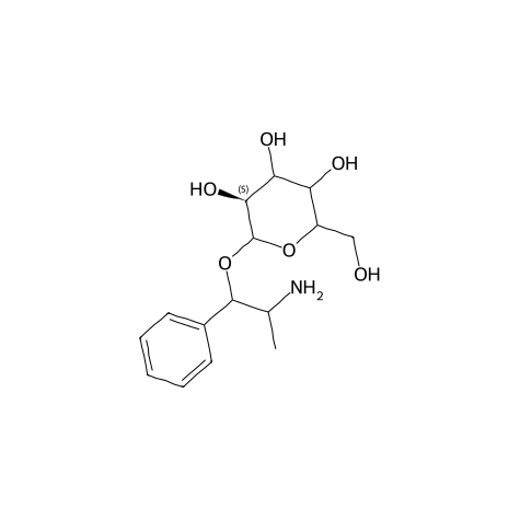 CC(N)C(OC1OC(CO)C(O)C(O)[C@@H]1O)c1ccccc1